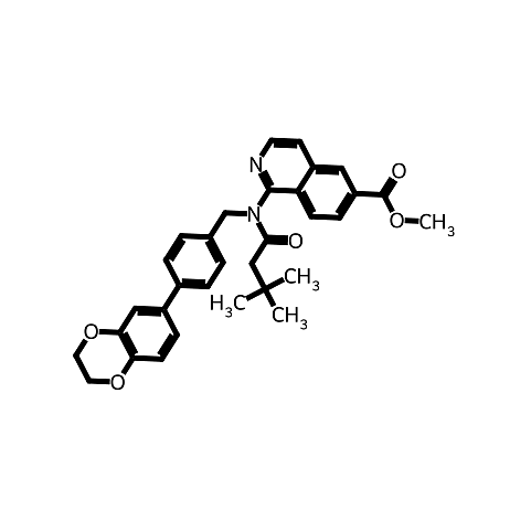 COC(=O)c1ccc2c(N(Cc3ccc(-c4ccc5c(c4)OCCO5)cc3)C(=O)CC(C)(C)C)nccc2c1